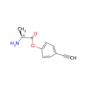 C#Cc1ccc(OC(=O)[C@H](C)N)cc1